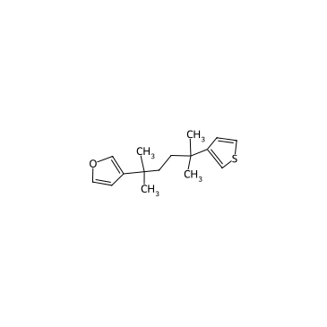 CC(C)(CCC(C)(C)c1ccsc1)c1ccoc1